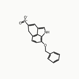 O=[N+]([O-])C1=Cc2c[nH]c3c(OCc4ccccc4)ccc(c23)C1